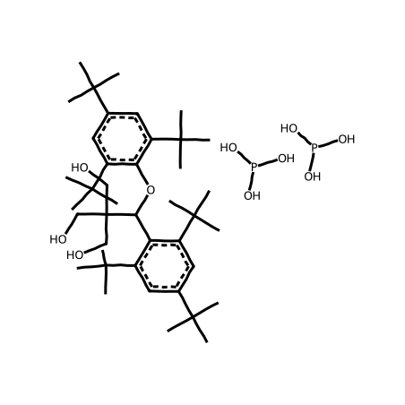 CC(C)(C)c1cc(C(C)(C)C)c(OC(c2c(C(C)(C)C)cc(C(C)(C)C)cc2C(C)(C)C)C(CO)(CO)CO)c(C(C)(C)C)c1.OP(O)O.OP(O)O